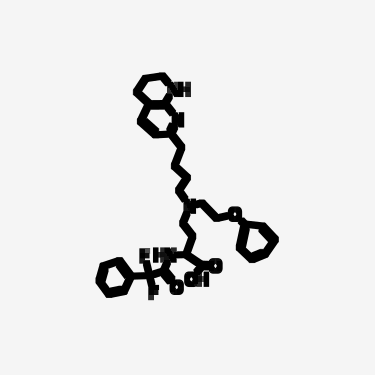 O=C(O)C(CCN(CCCCc1ccc2c(n1)NCCC2)CCOc1ccccc1)NC(=O)C(F)(F)c1ccccc1